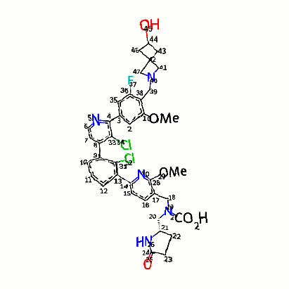 COc1cc(-c2nccc(-c3cccc(-c4ccc(CN(C[C@@H]5CCC(=O)N5)C(=O)O)c(OC)n4)c3Cl)c2Cl)cc(F)c1CN1CC2(CC(O)C2)C1